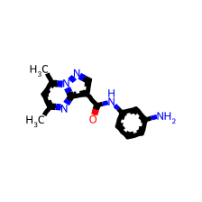 Cc1cc(C)n2ncc(C(=O)Nc3cccc(N)c3)c2n1